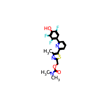 Cc1nc(COC(=O)N(C)C)sc1-c1cccc(-c2cc(F)c(O)c(F)c2F)n1